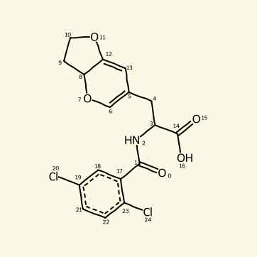 O=C(NC(CC1=COC2CCOC2=C1)C(=O)O)c1cc(Cl)ccc1Cl